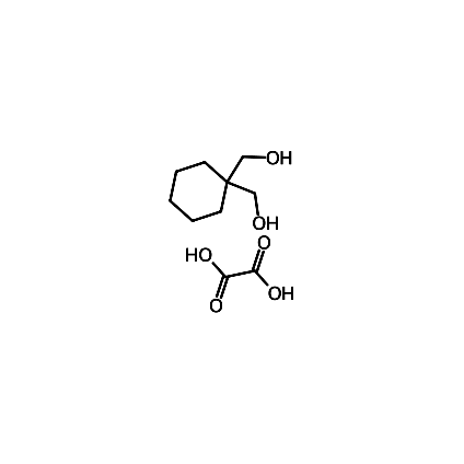 O=C(O)C(=O)O.OCC1(CO)CCCCC1